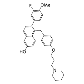 COc1ccc(-c2ccc3cc(O)ccc3c2Cc2ccc(OCCCN3CCCCC3)cc2)cc1F